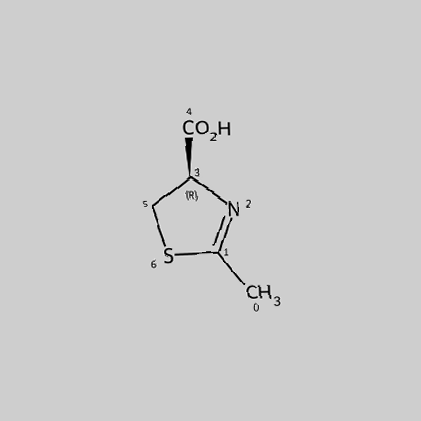 CC1=N[C@H](C(=O)O)CS1